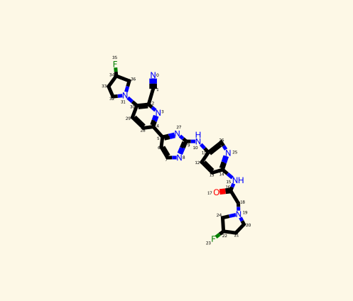 N#Cc1nc(-c2ccnc(Nc3ccc(NC(=O)CN4CCC(F)C4)nc3)n2)ccc1N1CCC(F)C1